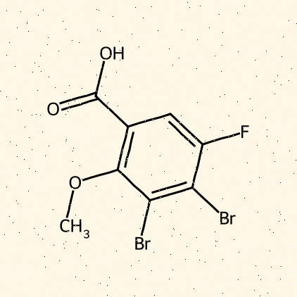 COc1c(C(=O)O)cc(F)c(Br)c1Br